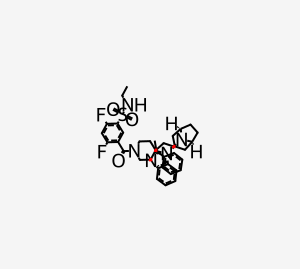 CCNS(=O)(=O)c1cc(C(=O)N2CCC(CCN3[C@@H]4CC[C@H]3C[C@@H](n3c(C)nc5ccccc53)C4)(c3ccccc3)CC2)c(F)cc1F